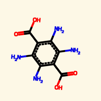 Nc1c(N)c(C(=O)O)c(N)c(N)c1C(=O)O